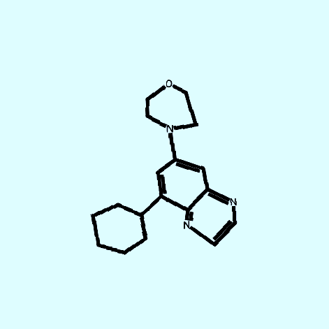 c1cnc2c(C3CCCCC3)cc(N3CCOCC3)cc2n1